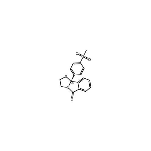 CS(=O)(=O)c1ccc([C@]23SCCN2C(=O)c2ccccc23)cc1